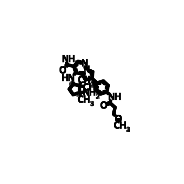 COCCC(=O)Nc1ccc(-c2cc3c(N[C@@H]4CC[C@](C)(N)C4(C)C)c(C(N)=O)cnn3c2)cc1